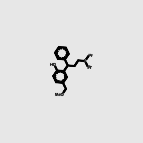 COCc1ccc(O)c(C(CCN(C(C)C)C(C)C)c2ccccc2)c1